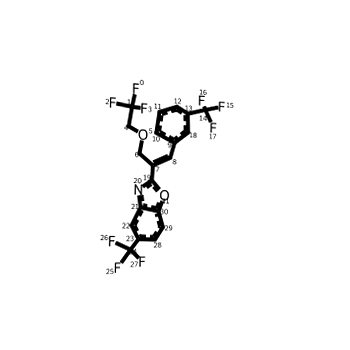 FC(F)(F)COCC(=Cc1cccc(C(F)(F)F)c1)c1nc2cc(C(F)(F)F)ccc2o1